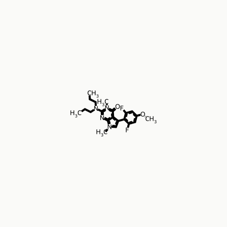 CCCN(CCC)c1nc2c(c(-c3c(F)cc(OC)cc3F)cn2C)c(=O)n1C